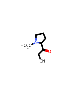 N#CCC(=O)C1CCCN1C(=O)O